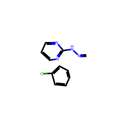 C=NNc1ncccn1.Clc1ccccc1